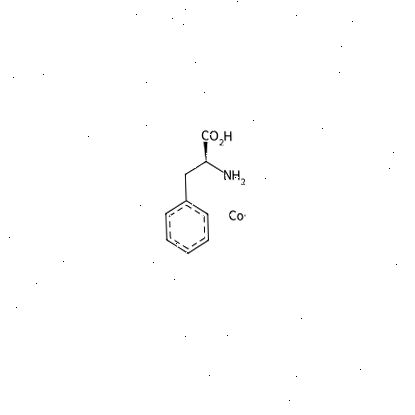 N[C@@H](Cc1ccccc1)C(=O)O.[Co]